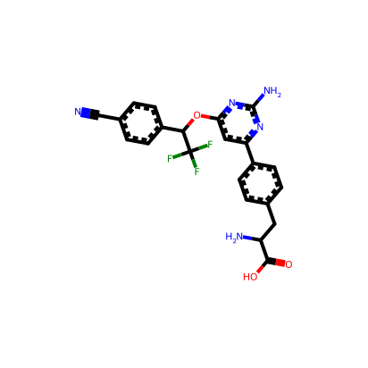 N#Cc1ccc(C(Oc2cc(-c3ccc(CC(N)C(=O)O)cc3)nc(N)n2)C(F)(F)F)cc1